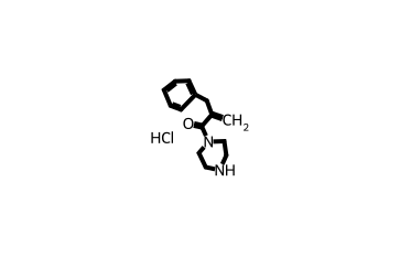 C=C(Cc1ccccc1)C(=O)N1CCNCC1.Cl